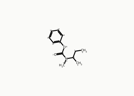 CCC(C)N(C)C(=O)Oc1ccccc1